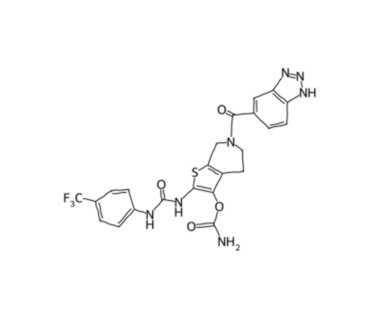 NC(=O)Oc1c(NC(=O)Nc2ccc(C(F)(F)F)cc2)sc2c1CCN(C(=O)c1ccc3[nH]nnc3c1)C2